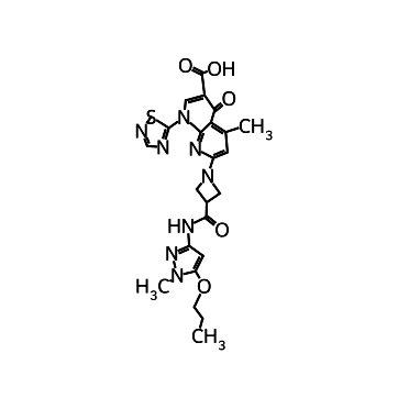 CCCOc1cc(NC(=O)C2CN(c3cc(C)c4c(=O)c(C(=O)O)cn(-c5ncns5)c4n3)C2)nn1C